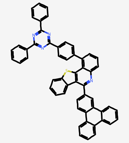 c1ccc(-c2nc(-c3ccccc3)nc(-c3ccc(-c4cccc5nc(-c6ccc7c8ccccc8c8ccccc8c7c6)c6c7ccccc7sc6c45)cc3)n2)cc1